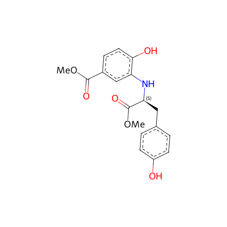 COC(=O)c1ccc(O)c(N[C@@H](Cc2ccc(O)cc2)C(=O)OC)c1